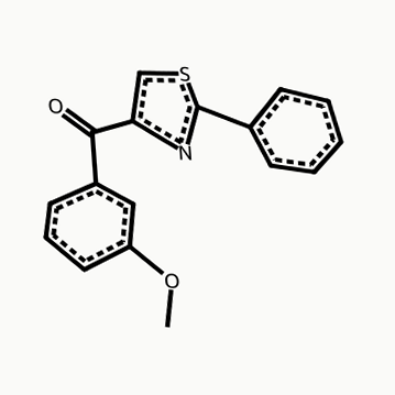 COc1cccc(C(=O)c2csc(-c3ccccc3)n2)c1